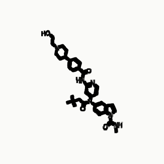 CNC(=O)n1ccc2cc(N(C(=O)CC(C)(C)C)c3ccnc(NC(=O)c4ccc(C5CCN(CCO)CC5)cc4)c3)ccc21